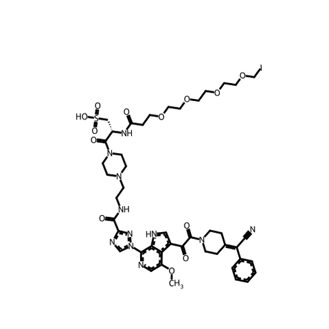 COc1cnc(-n2cnc(C(=O)NCCN3CCN(C(=O)[C@H](CS(=O)(=O)O)NC(=O)CCOCCOCCOCCOCI)CC3)n2)c2[nH]cc(C(=O)C(=O)N3CCC(=C(C#N)c4ccccc4)CC3)c12